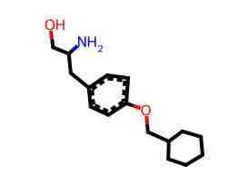 NC(CO)Cc1ccc(OCC2CCCCC2)cc1